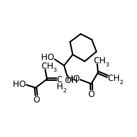 C=C(C)C(=O)O.C=C(C)C(=O)O.OC(O)C1CCCCC1